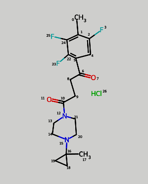 Cc1c(F)cc(C(=O)CCC(=O)N2CCN(C3(C)CC3)CC2)c(F)c1F.Cl